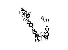 COc1ccc(C(=O)N2CCC3(CCC(CCN4CCC(n5cc(NC(=O)c6cnn7ccc(N8CCOCC8)nc67)c(C(F)F)n5)CC4)CC3)CC2)cc1N1CCC(=O)NC1=O.O=CO